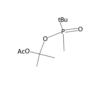 CC(=O)OC(C)(C)OP(C)(=O)C(C)(C)C